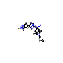 Cn1cc2cc(-c3cnc(N[C@H]4C[C@@H]5CN(CCC(C)(C)C)C[C@@H]5C4)nc3)ccc2n1